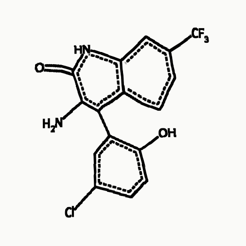 Nc1c(-c2cc(Cl)ccc2O)c2ccc(C(F)(F)F)cc2[nH]c1=O